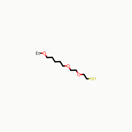 CCOCCCCCOCCOCCS